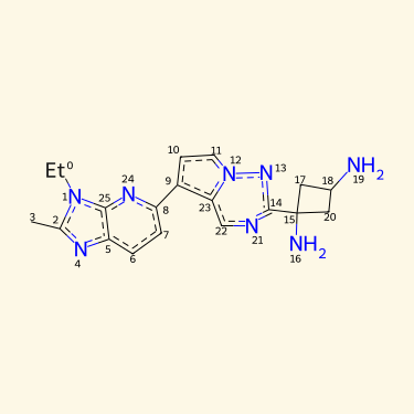 CCn1c(C)nc2ccc(-c3ccn4nc(C5(N)CC(N)C5)ncc34)nc21